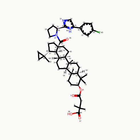 CC(C)(CC(=O)O[C@H]1CC[C@]2(C)[C@H]3CC[C@@H]4[C@H]5[C@H](C6(C)CC6)CC[C@]5(C(=O)N5CCC[C@H]5c5ncc(-c6ccc(F)cc6)[nH]5)CC[C@@]4(C)[C@]3(C)CC[C@H]2C1(C)C)C(=O)O